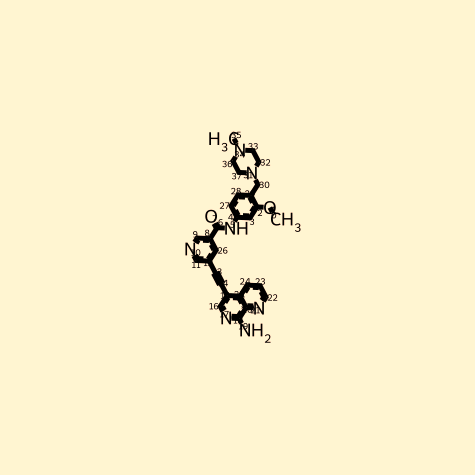 COc1cc(NC(=O)c2cncc(C#Cc3cnc(N)c4ncccc34)c2)ccc1CN1CCN(C)CC1